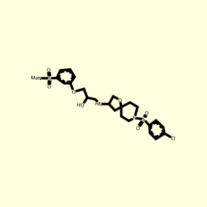 CNS(=O)(=O)c1cccc(OCC(O)CNC2COC3(CCN(S(=O)(=O)c4ccc(Cl)cc4)CC3)C2)c1